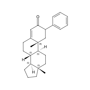 C[C@@]12CCC[C@H]1[C@@H]1CCC3=CC(=O)C(c4ccccc4)C[C@]3(C)[C@H]1CC2